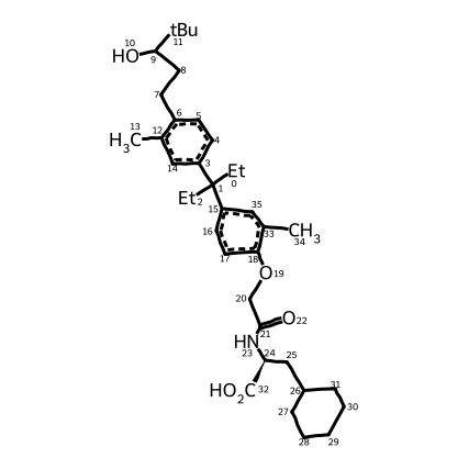 CCC(CC)(c1ccc(CCC(O)C(C)(C)C)c(C)c1)c1ccc(OCC(=O)N[C@@H](CC2CCCCC2)C(=O)O)c(C)c1